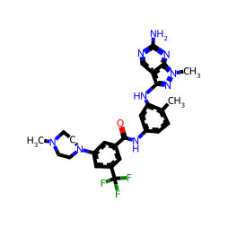 Cc1ccc(NC(=O)c2cc(N3CCN(C)CC3)cc(C(F)(F)F)c2)cc1Nc1nn(C)c2nc(N)ncc12